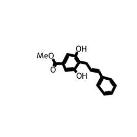 COC(=O)c1cc(O)c(CC=Cc2ccccc2)c(O)c1